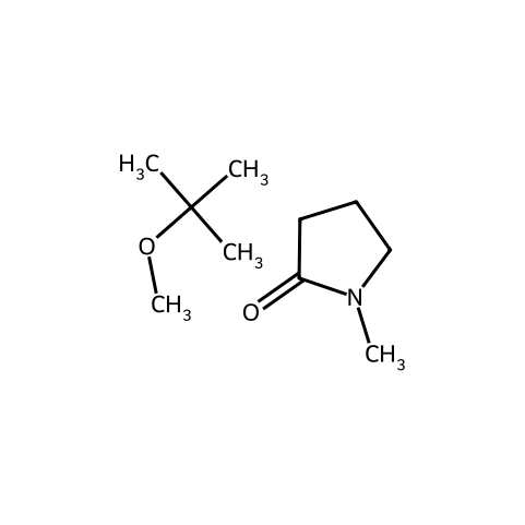 CN1CCCC1=O.COC(C)(C)C